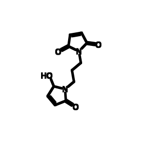 O=C1C=CC(=O)N1CCCN1C(=O)C=CC1O